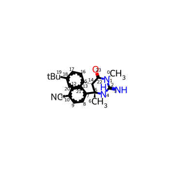 CN1C(=N)N[C@](C)(c2ccc(C#N)cc2)[C@H](c2ccc(C(C)(C)C)cc2)C1=O